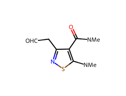 CNC(=O)c1c(CC=O)nsc1NC